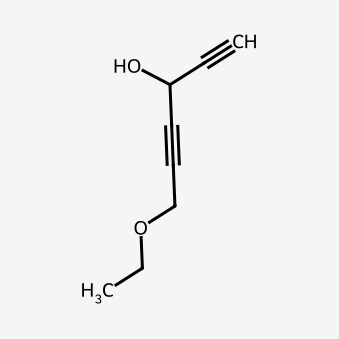 C#CC(O)C#CCOCC